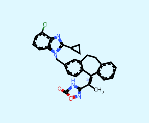 C/C(=C1\c2ccccc2CCc2cc(Cn3c(C4CC4)nc4c(Cl)cccc43)ccc21)c1noc(=O)[nH]1